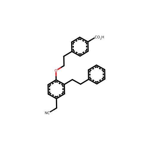 N#CCc1ccc(OCCc2ccc(C(=O)O)cc2)c(CCc2ccccc2)c1